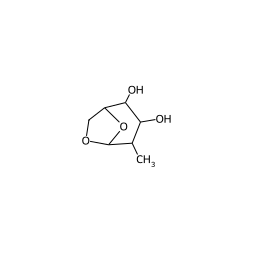 CC1C2OCC(O2)C(O)C1O